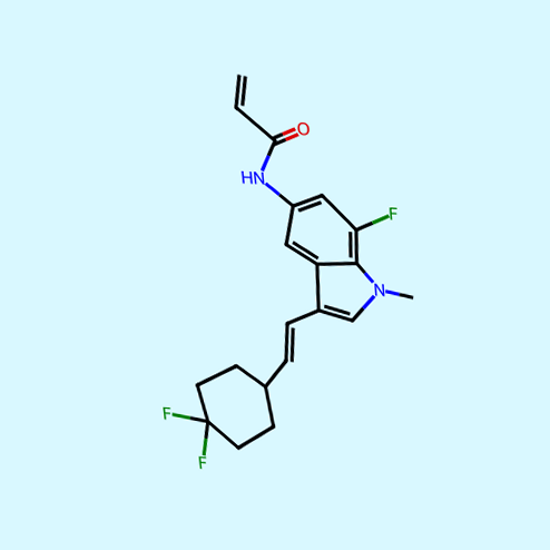 C=CC(=O)Nc1cc(F)c2c(c1)c(/C=C/C1CCC(F)(F)CC1)cn2C